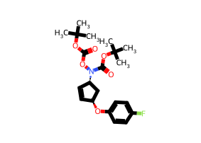 CC(C)(C)OC(=O)ON(C(=O)OC(C)(C)C)[C@H]1C=C[C@H](Oc2ccc(F)cc2)C1